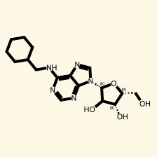 OC[C@H]1O[C@@H](n2cnc3c(NCC4CCCCC4)ncnc32)C(O)[C@H]1O